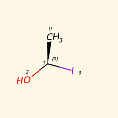 C[C@H](O)I